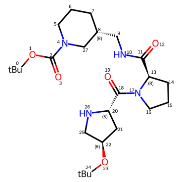 CC(C)(C)OC(=O)N1CCC[C@H](CNC(=O)[C@H]2CCCN2C(=O)[C@@H]2C[C@@H](OC(C)(C)C)CN2)C1